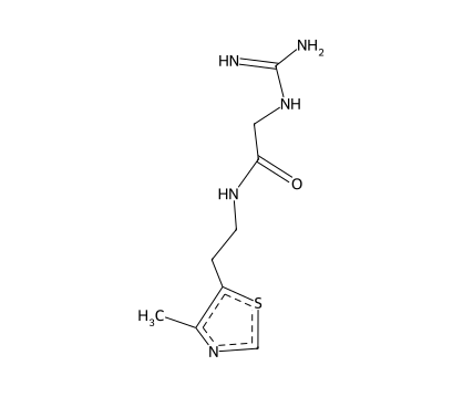 Cc1ncsc1CCNC(=O)CNC(=N)N